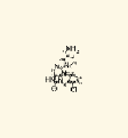 NCC1CCCN(c2ncc3[nH]c(=O)n(Cc4c(Cl)cccc4Cl)c3n2)C1